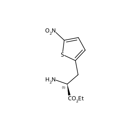 CCOC(=O)[C@@H](N)Cc1ccc([N+](=O)[O-])s1